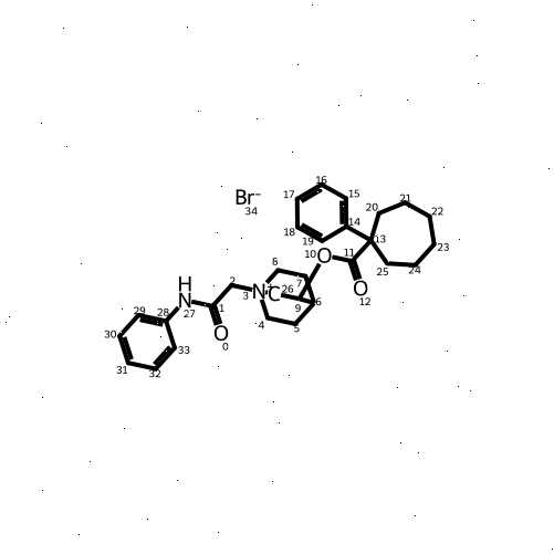 O=C(C[N+]12CCC(CC1)C(OC(=O)C1(c3ccccc3)CCCCCC1)C2)Nc1ccccc1.[Br-]